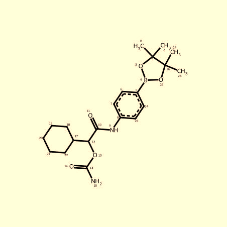 CC1(C)OB(c2ccc(NC(=O)C(OC(N)=O)C3CCCCC3)cc2)OC1(C)C